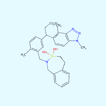 CCOC(=O)CC(c1ccc(C)c(CN2Cc3ccccc3CCS2(O)O)c1)c1ccc2c(nnn2C)c1C